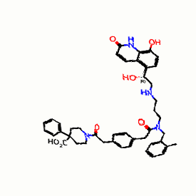 Cc1ccccc1CN(CCCNC[C@H](O)c1ccc(O)c2[nH]c(=O)ccc12)C(=O)Cc1ccc(CC(=O)N2CCC(C(=O)O)(c3ccccc3)CC2)cc1